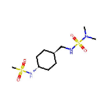 CN(C)S(=O)(=O)NC[C@H]1CC[C@H](NS(C)(=O)=O)CC1